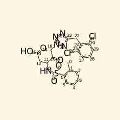 Cc1ccccc1S(=O)(=O)NC(CC(=O)O)C(=O)Cn1nnc(Cc2c(Cl)cccc2Cl)n1